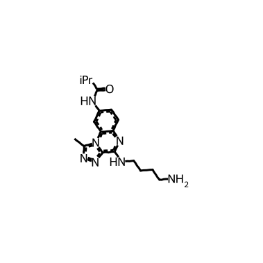 Cc1nnc2c(NCCCCN)nc3ccc(NC(=O)C(C)C)cc3n12